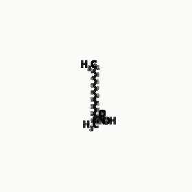 CCCCCCCCCCCCCCCC(CC)C(=O)NO